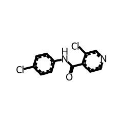 O=C(Nc1ccc(Cl)cc1)c1ccncc1Cl